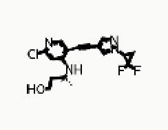 C[C@H](CCO)Nc1cc(Cl)ncc1C#Cc1cnn(C2CC2(F)F)c1